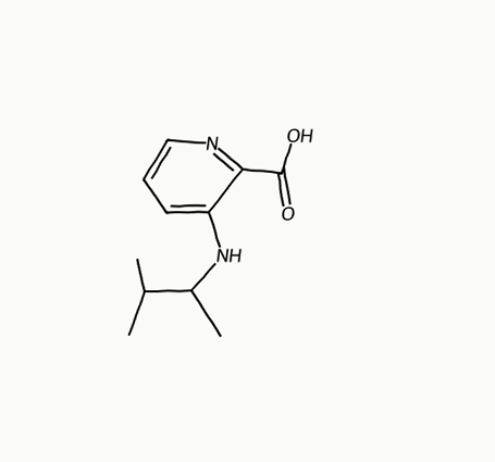 CC(C)C(C)Nc1cccnc1C(=O)O